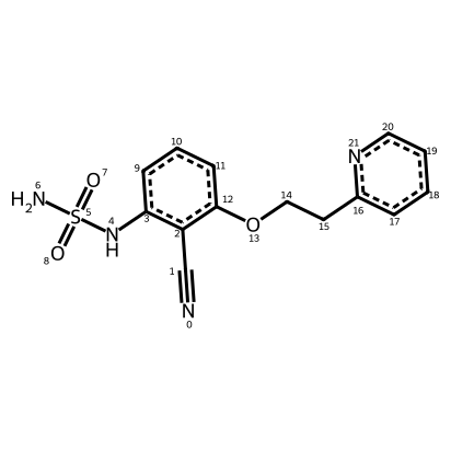 N#Cc1c(NS(N)(=O)=O)cccc1OCCc1ccccn1